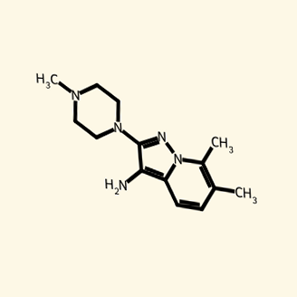 Cc1ccc2c(N)c(N3CCN(C)CC3)nn2c1C